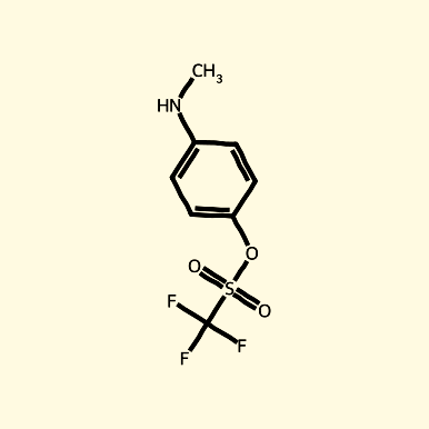 CNc1ccc(OS(=O)(=O)C(F)(F)F)cc1